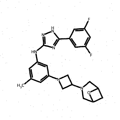 Cc1cc(Nc2n[nH]c(-c3cc(F)cc(F)c3)n2)cc(N2CC(N3CC4CC(C3)O4)C2)c1